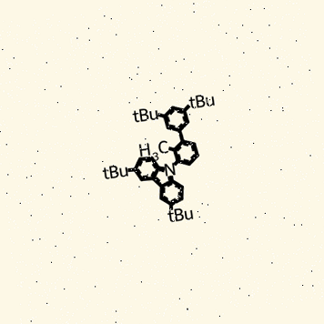 Cc1c(-c2cc(C(C)(C)C)cc(C(C)(C)C)c2)cccc1-n1c2ccc(C(C)(C)C)cc2c2cc(C(C)(C)C)ccc21